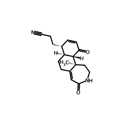 C[C@]12CCNC(=O)C=C1CC[C@H]1[C@H](CCC#N)C=CC(=O)[C@@H]12